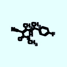 CSC(=O)C(C#N)=C(C)NC(C)c1ccc(F)cc1